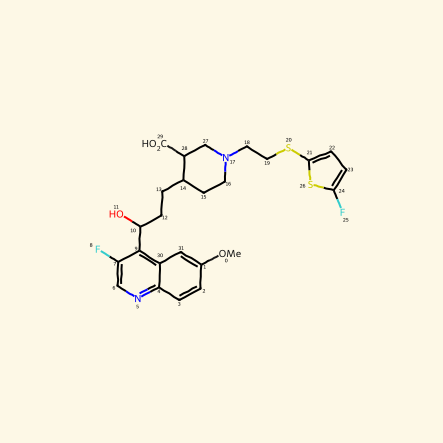 COc1ccc2ncc(F)c(C(O)CCC3CCN(CCSc4ccc(F)s4)CC3C(=O)O)c2c1